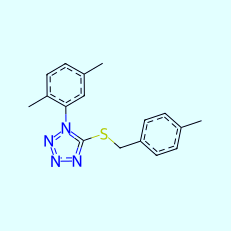 Cc1ccc(CSc2nnnn2-c2cc(C)ccc2C)cc1